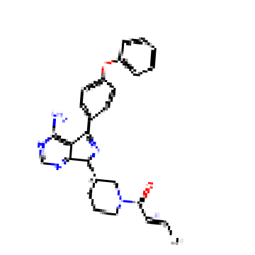 C/C=C/C(=O)N1CCC[C@@H](C2N=C(c3ccc(Oc4ccccc4)cc3)c3c(N)ncnc32)C1